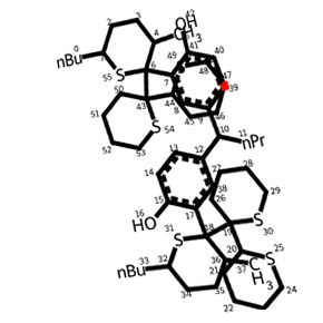 CCCCC1CCC(C)C(c2cc(C(CCC)c3ccc(O)c(C4(C5(C6CCCCS6)CCCCS5)SC(CCCC)CCC4C)c3)ccc2O)(C2(C3CCCCS3)CCCCS2)S1